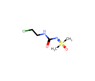 CS(C)(=O)=NC(=O)NCCCl